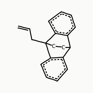 C=CCC12CCC(c3ccccc31)c1ccccc12